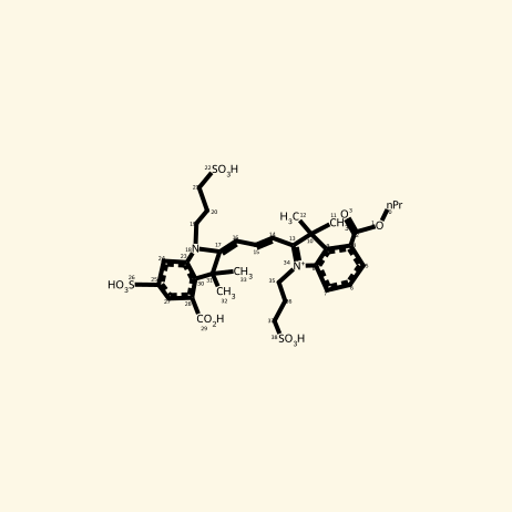 CCCOC(=O)c1cccc2c1C(C)(C)C(/C=C/C=C1/N(CCCS(=O)(=O)O)c3cc(S(=O)(=O)O)cc(C(=O)O)c3C1(C)C)=[N+]2CCCS(=O)(=O)O